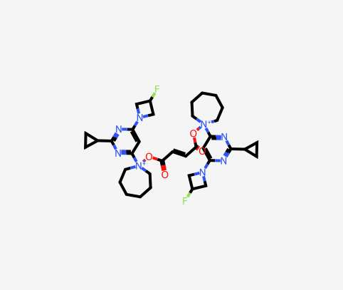 O=C(/C=C/C(=O)O[N+]1(c2cc(N3CC(F)C3)nc(C3CC3)n2)CCCCCC1)O[N+]1(c2cc(N3CC(F)C3)nc(C3CC3)n2)CCCCCC1